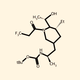 CC[C@@H]1CC(C[C@@H](C)NC(=O)OC(C)(C)C)CN(C(=O)CC(F)(F)F)C1[C@H](C)O